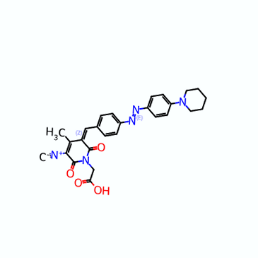 [C-]#[N+]C1=C(C)/C(=C/c2ccc(/N=N/c3ccc(N4CCCCC4)cc3)cc2)C(=O)N(CC(=O)O)C1=O